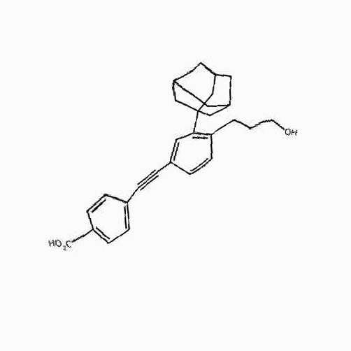 O=C(O)c1ccc(C#Cc2ccc(CCCO)c(C34CC5CC(CC(C5)C3)C4)c2)cc1